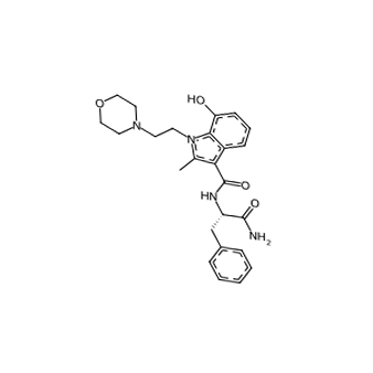 Cc1c(C(=O)N[C@@H](Cc2ccccc2)C(N)=O)c2cccc(O)c2n1CCN1CCOCC1